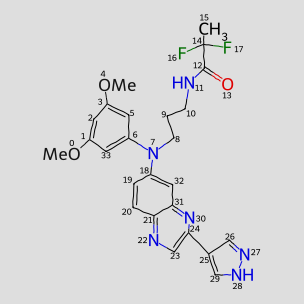 COc1cc(OC)cc(N(CCCNC(=O)C(C)(F)F)c2ccc3ncc(-c4cn[nH]c4)nc3c2)c1